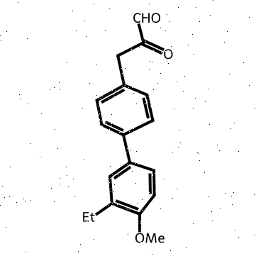 CCc1cc(-c2ccc(CC(=O)C=O)cc2)ccc1OC